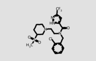 CS(=O)(=O)C1CCCN(CCN(Cc2ccccc2Cl)C(=O)c2cc(C(F)(F)F)n[nH]2)C1